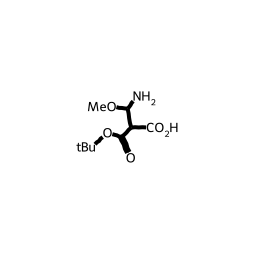 COC(N)C(C(=O)O)C(=O)OC(C)(C)C